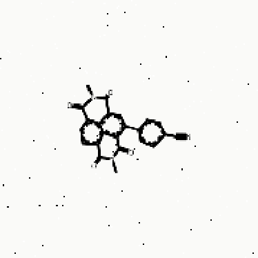 CN1C(=O)c2ccc3c4c(c(-c5ccc(C#N)cc5)cc(c24)C1=O)C(=O)N(C)C3=O